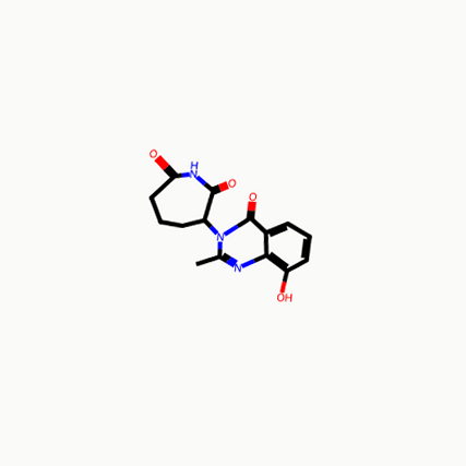 Cc1nc2c(O)cccc2c(=O)n1C1CCCC(=O)NC1=O